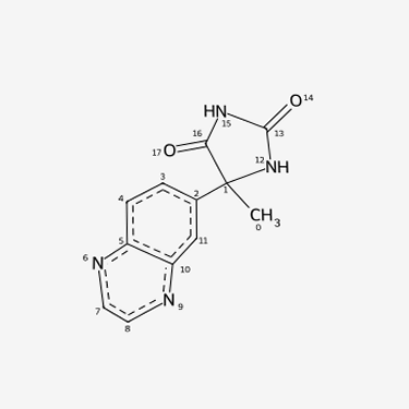 CC1(c2ccc3nccnc3c2)NC(=O)NC1=O